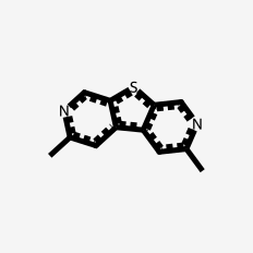 Cc1cc2c(cn1)sc1cnc(C)cc12